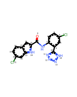 O=C(Nc1ccc(Cl)cc1-c1nnn[nH]1)c1cc2ccc(Cl)cc2[nH]1